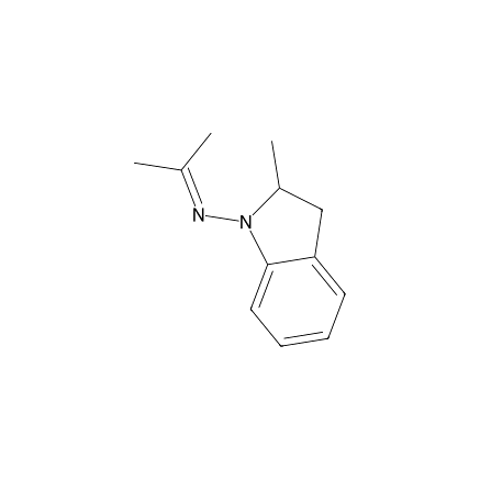 CC(C)=NN1c2ccccc2CC1C